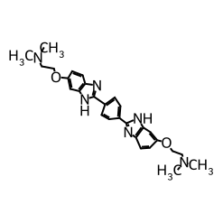 CN(C)CCOc1ccc2nc(-c3ccc(-c4nc5ccc(OCCN(C)C)cc5[nH]4)cc3)[nH]c2c1